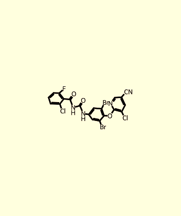 N#Cc1cnc(Oc2c(Br)cc(NC(=O)NC(=O)c3c(F)cccc3Cl)cc2Br)c(Cl)c1